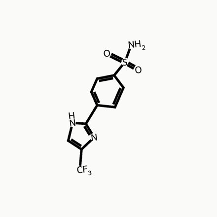 NS(=O)(=O)c1ccc(-c2nc(C(F)(F)F)c[nH]2)cc1